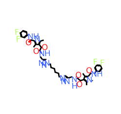 Cc1c(C(=O)C(=O)NCc2cn(CCCCCCn3cc(CNC(=O)C(=O)c4c(C)c(C(=O)Nc5ccc(F)c(F)c5)n(C)c4C)nn3)nn2)c(C)n(C)c1C(=O)Nc1ccc(F)c(F)c1